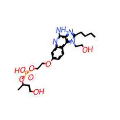 CCCCc1nc2c(N)nc3cc(OCCOP(=O)(O)OC(C)CCO)ccc3c2n1CCO